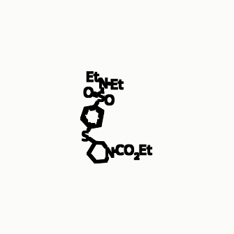 CCOC(=O)N1CCCC(Sc2ccc(S(=O)(=O)N(CC)CC)cc2)C1